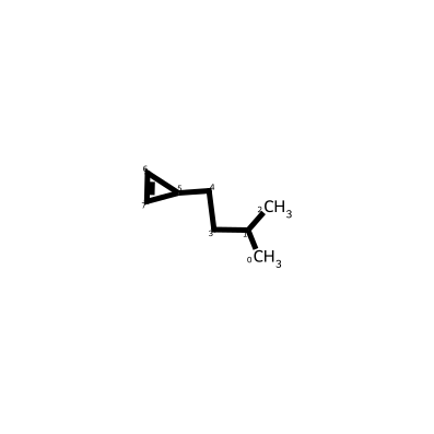 CC(C)CCC1C=C1